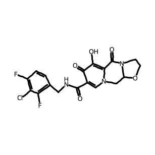 O=C(NCc1ccc(F)c(Cl)c1F)c1cn2c(c(O)c1=O)C(=O)N1CCOC1C2